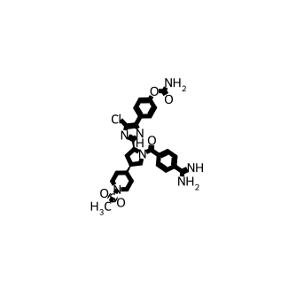 CS(=O)(=O)N1CCC([C@H]2C[C@@H](c3nc(Cl)c(-c4ccc(OC(N)=O)cc4)[nH]3)N(C(=O)c3ccc(C(=N)N)cc3)C2)CC1